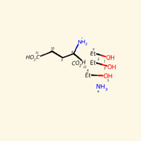 CCO.CCO.CCO.N.NC(CCC(=O)O)C(=O)O